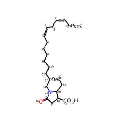 CCCCC/C=C\C/C=C\CCCCCCCCN1C(=O)CC(C(=O)O)C1CCCCCCCCCCC